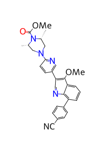 COC(=O)N1[C@H](C)CN(c2ccc(-c3cnc4c(-c5ccc(C#N)cc5)cccc4c3OC)cn2)C[C@@H]1C